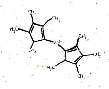 CC1=C(C)C(C)[C]([Zr+2][C]2=C(C)C(C)=C(C)C2C)=C1C.[F-].[F-]